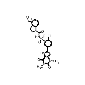 COc1cccc2c1CCC2C(=O)NS(=O)(=O)c1cc(-c2nc3c([nH]2)c(=O)n(C)c(=O)n3C)ccc1Cl